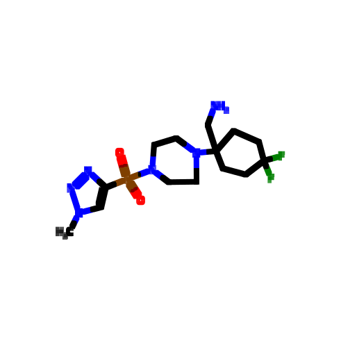 Cn1cc(S(=O)(=O)N2CCN(C3(CN)CCC(F)(F)CC3)CC2)nn1